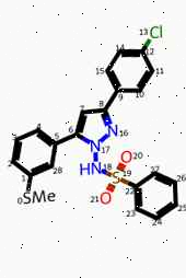 CSc1cccc(-c2cc(-c3ccc(Cl)cc3)nn2NS(=O)(=O)c2ccccc2)c1